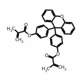 C=C(C)C(=O)Oc1ccc(C2(c3ccc(OC(=O)C(=C)C)cc3)c3ccccc3Oc3ccccc32)cc1